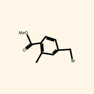 COC(=O)c1ccc(CBr)cc1C